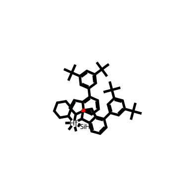 CC(C)(C)c1cc(-c2cccc3c2C=C[CH]3[Hf]([CH3])([CH3])([CH3])(=[SiH2])([CH]2CCCCC2)[CH]2C=Cc3c(-c4cc(C(C)(C)C)cc(C(C)(C)C)c4)cccc32)cc(C(C)(C)C)c1